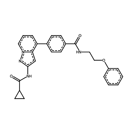 O=C(NCCOc1ccccc1)c1ccc(-c2cccn3nc(NC(=O)C4CC4)cc23)cc1